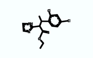 CCOC(=S)C(c1ncc[nH]1)C(C)c1ccc(Cl)cc1Cl